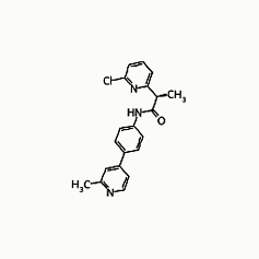 Cc1cc(-c2ccc(NC(=O)[C@H](C)c3cccc(Cl)n3)cc2)ccn1